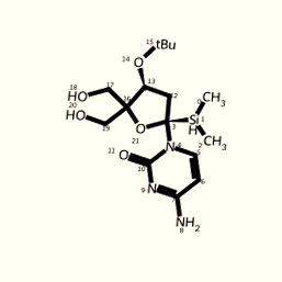 C[SiH](C)[C@]1(n2ccc(N)nc2=O)C[C@H](OC(C)(C)C)C(CO)(CO)O1